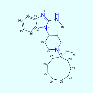 CCC1(N2CCC(n3c(NC)nc4ccccc43)CC2)CCCCCCCC1